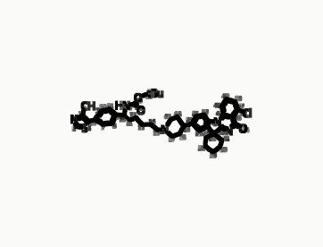 Cc1ncsc1-c1ccc([C@H](CCCCCN2CCC(c3ccc4c(c3)C3(CCCCC3)c3nc(=O)c5c(Cl)cccc5n3-4)CC2)NC(=O)OC(C)(C)C)cc1